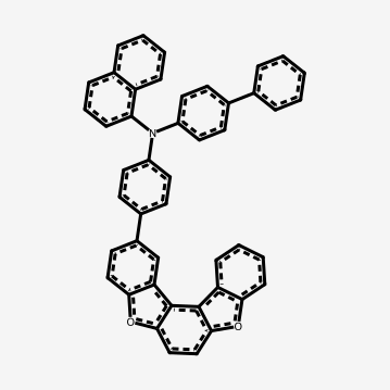 c1ccc(-c2ccc(N(c3ccc(-c4ccc5oc6ccc7oc8ccccc8c7c6c5c4)cc3)c3cccc4ccccc34)cc2)cc1